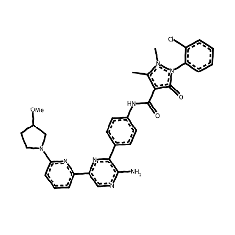 COC1CCN(c2cccc(-c3cnc(N)c(-c4ccc(NC(=O)c5c(C)n(C)n(-c6ccccc6Cl)c5=O)cc4)n3)n2)C1